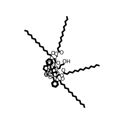 CCCCCCCCCCCCCC(=O)OC[C@H](COC(=O)C(N1C(=O)CCC1=O)C(C[C@@H](COC(=O)CCCCCCCCCCCCC)OC(=O)CCCCCCCCCCCCC)(C(=O)OCC(O)CO)P(=O)(OCc1ccccc1)OCc1ccccc1)OC(=O)CCCCCCCCCCCCC